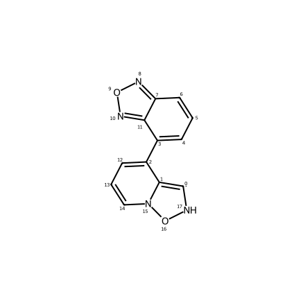 [C]1=C2C(c3cccc4nonc34)=CC=CN2ON1